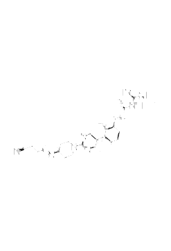 N#CCCON=C1CCN(c2ncc(-c3cccc(COC(=O)NC(=N)N)c3F)cn2)CC1